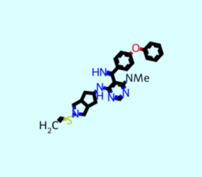 C=CSN1CC2CC(Nc3ncnc(NC)c3C(=N)c3ccc(Oc4ccccc4)cc3)CC2C1